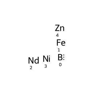 [B].[Fe].[Nd].[Ni].[Zn]